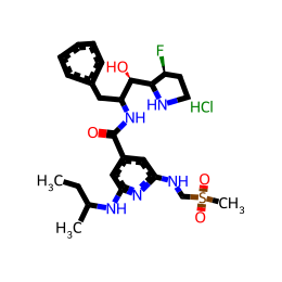 CCC(C)Nc1cc(C(=O)NC(Cc2ccccc2)[C@H](O)C2NCC[C@@H]2F)cc(NCS(C)(=O)=O)n1.Cl